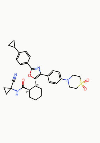 N#CC1(NC(=O)[C@@H]2CCCC[C@H]2c2oc(-c3ccc(C4CC4)cc3)nc2-c2ccc(N3CCS(=O)(=O)CC3)cc2)CC1